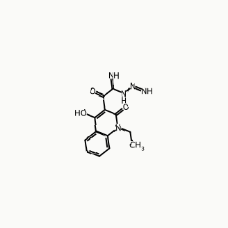 CCn1c(=O)c(C(=O)C(=N)NN=N)c(O)c2ccccc21